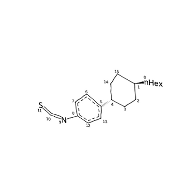 CCCCCC[C@H]1CC[C@H](c2ccc(N=C=S)cc2)CC1